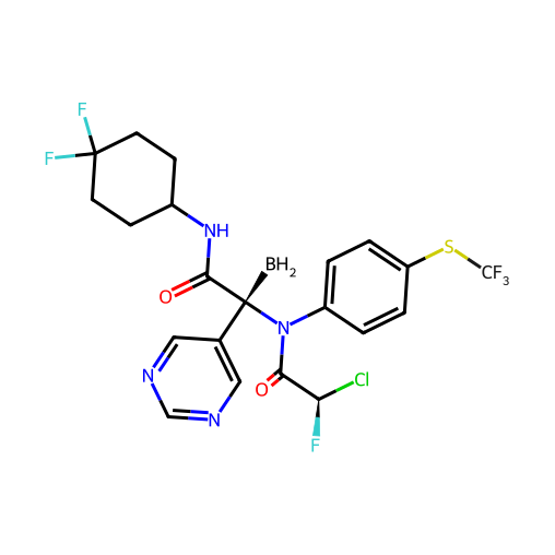 B[C@](C(=O)NC1CCC(F)(F)CC1)(c1cncnc1)N(C(=O)[C@H](F)Cl)c1ccc(SC(F)(F)F)cc1